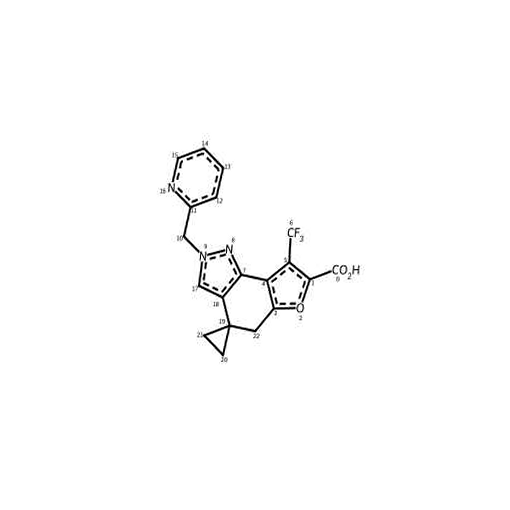 O=C(O)c1oc2c(c1C(F)(F)F)-c1nn(Cc3ccccn3)cc1C1(CC1)C2